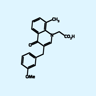 COc1cccc(Cc2cn(CC(=O)O)c3c(C)cccc3c2=O)c1